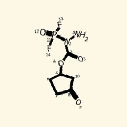 NN(C(=O)OC1CCC(=O)C1)P(=O)(F)F